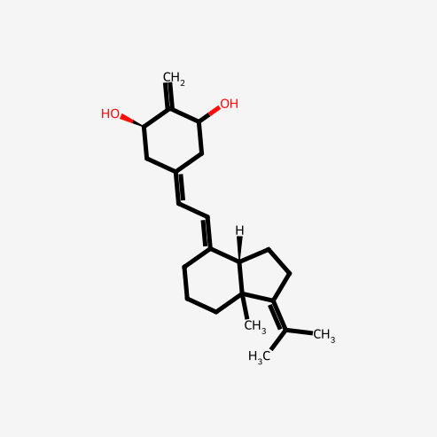 C=C1C(O)C/C(=C\C=C2/CCCC3(C)C(=C(C)C)CC[C@@H]23)C[C@H]1O